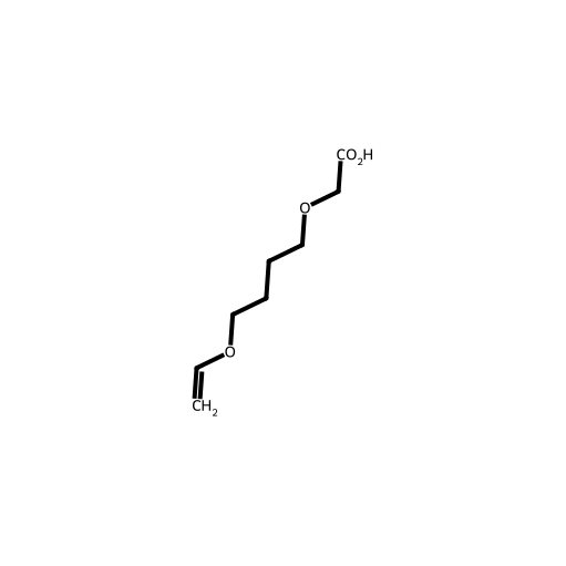 C=COCCCCOCC(=O)O